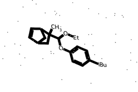 CCOC(Oc1ccc(C(C)CC)cc1)C1(C)CC2C=CC1C2